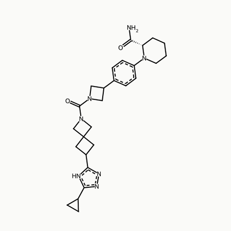 NC(=O)[C@@H]1CCCCN1c1ccc(C2CN(C(=O)N3CC4(CC(c5nnc(C6CC6)[nH]5)C4)C3)C2)cc1